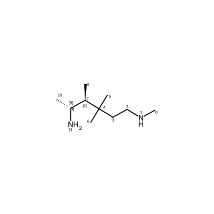 CNCCC(C)(C)[C@H](C)[C@@H](C)N